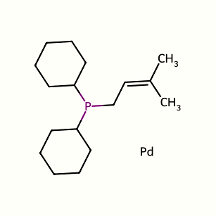 CC(C)=CCP(C1CCCCC1)C1CCCCC1.[Pd]